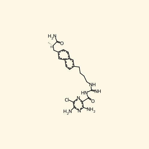 C[C@@H](Cc1ccc2cc(CCCCNC(=N)NC(=O)c3nc(Cl)c(N)nc3N)ccc2c1)C(N)=O